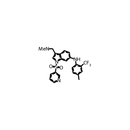 CNCc1cn(S(=O)(=O)c2cccnc2)c2cc(Nc3ccc(C)cc3C(F)(F)F)ccc12